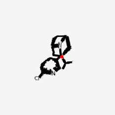 CC(C)N1CC2CC(C1)N2Cc1ccc(Cl)nc1